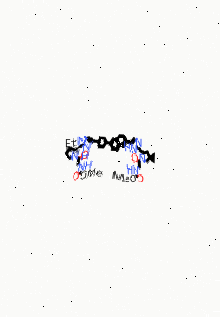 CC[C@@H]1CCN(C(=O)CNC(=O)OC)[C@@H]1c1ncc(-c2ccc(-c3ccc4cc(-c5cnc(C6CC7(CC7)CN6C(=O)CNC(=O)OC)[nH]5)ccc4c3)cc2)[nH]1